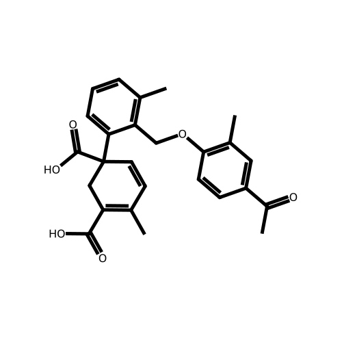 CC(=O)c1ccc(OCc2c(C)cccc2C2(C(=O)O)C=CC(C)=C(C(=O)O)C2)c(C)c1